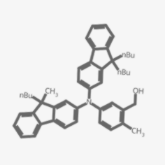 CCCCC1(C)c2ccccc2-c2ccc(N(c3ccc(C)c(CO)c3)c3ccc4c(c3)C(CCCC)(CCCC)c3ccccc3-4)cc21